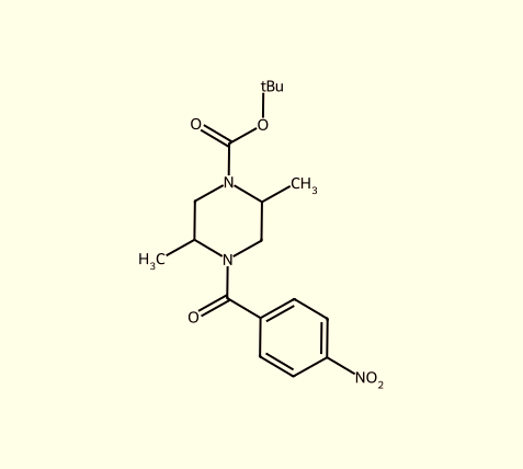 CC1CN(C(=O)c2ccc([N+](=O)[O-])cc2)C(C)CN1C(=O)OC(C)(C)C